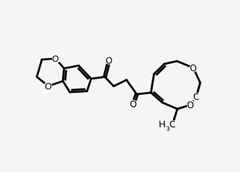 CC1/C=C(C(=O)CCC(=O)c2ccc3c(c2)OCCO3)\C=C/COCCO1